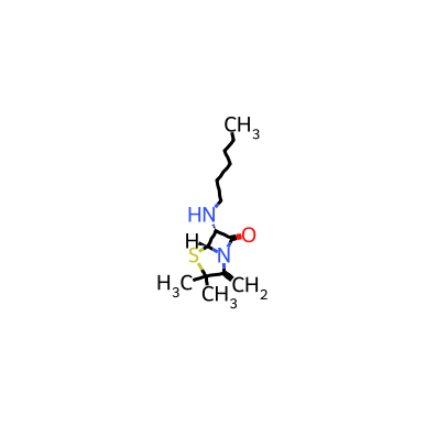 C=C1N2C(=O)[C@@H](NCCCCCC)[C@H]2SC1(C)C